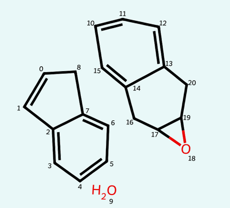 C1=Cc2ccccc2C1.O.c1ccc2c(c1)CC1OC1C2